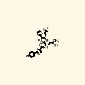 CC(O)CC[C@H](NC(=O)c1cnc(-c2ccc(F)cc2)s1)C(=O)N[C@@H](CCC(F)(F)F)C(O)c1nccs1